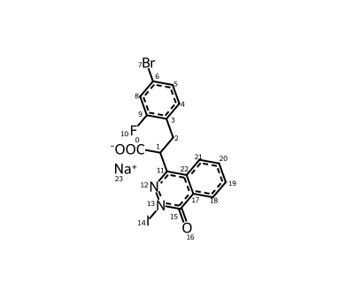 O=C([O-])C(Cc1ccc(Br)cc1F)c1nn(I)c(=O)c2ccccc12.[Na+]